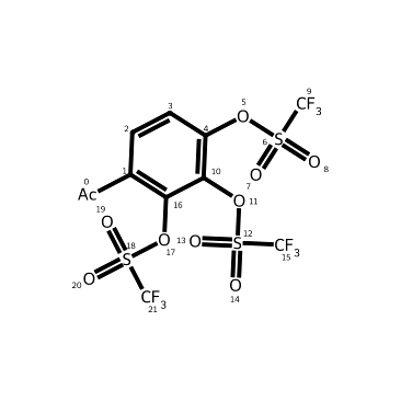 CC(=O)c1ccc(OS(=O)(=O)C(F)(F)F)c(OS(=O)(=O)C(F)(F)F)c1OS(=O)(=O)C(F)(F)F